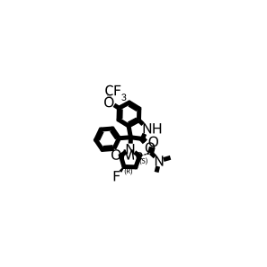 COc1ccccc1C1(N2C[C@H](F)C[C@H]2C(=O)N(C)C)C(=O)Nc2ccc(OC(F)(F)F)cc21